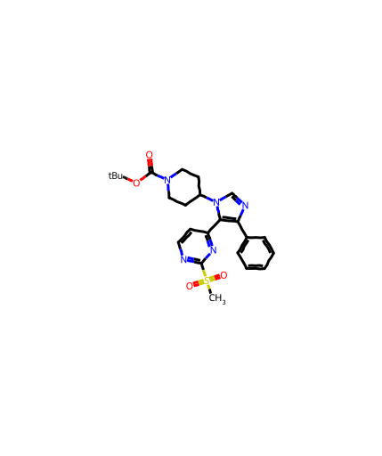 CC(C)(C)OC(=O)N1CCC(n2cnc(-c3ccccc3)c2-c2ccnc(S(C)(=O)=O)n2)CC1